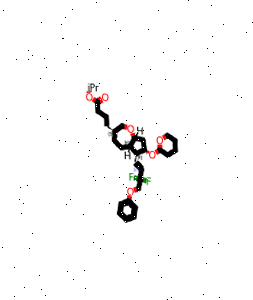 CC(C)OC(=O)CCC[C@H]1CC[C@@H]2[C@@H](/C=C/C(F)(F)COc3ccccc3)[C@H](OC3CCCCO3)C[C@@H]2OC1